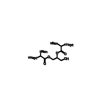 CCCCCCCCCC(CCCCCCC)C(=O)OCC(CO)OC(=O)C(CCCCCCC)CCCCCCCCC